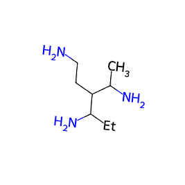 CCC(N)C(CCN)C(C)N